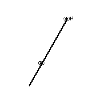 CCCCCCC=CCCCCCCCCCCCC(=O)OCCCCCCCCCCCCCCCCCCCCCCCCCCCCCCCCCCCCC(=O)O